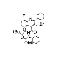 COC(=O)N(c1ccccc1)N(C(=O)OC(C)(C)C)C(=O)c1c(CBr)c(-c2ccccc2)nc2c(F)cccc12